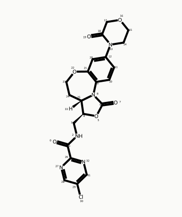 O=C(NC[C@@H]1OC(=O)N2c3ccc(N4CCOCC4=O)cc3OCC[C@@H]12)c1ncc(Cl)cn1